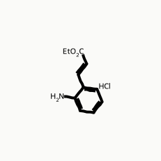 CCOC(=O)C=Cc1ccccc1N.Cl